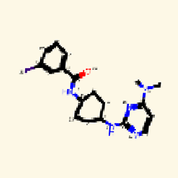 CN(C)c1ccnc(NC2CCC(NC(=O)c3cccc(I)c3)CC2)n1